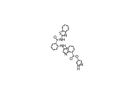 O=C(Nc1nc2ccccc2s1)c1ccccc1Nc1cnc2c(C(=O)Oc3cn[nH]c3)cccn12